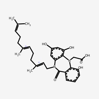 CC(C)=CCC/C(C)=C/CC/C(C)=C/CN1C(=O)c2cccc(O)c2N(CC(=O)O)c2c(O)cc(O)cc21